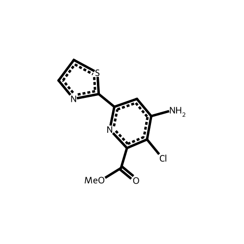 COC(=O)c1nc(-c2nccs2)cc(N)c1Cl